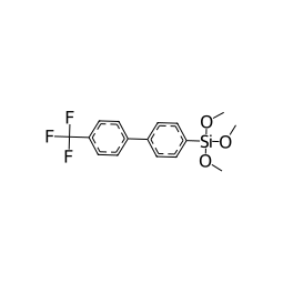 CO[Si](OC)(OC)c1ccc(-c2ccc(C(F)(F)F)cc2)cc1